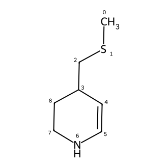 CSCC1C=CNCC1